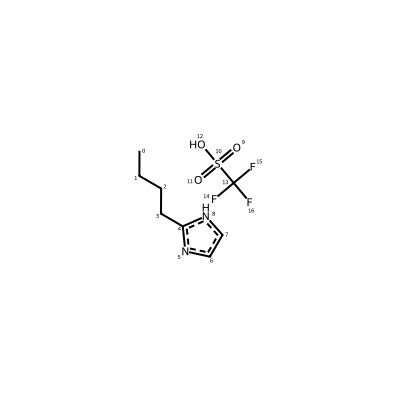 CCCCc1ncc[nH]1.O=S(=O)(O)C(F)(F)F